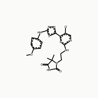 COc1ccc(Nc2nnc(-c3nc(NCCN4C(=O)NC(=O)C4(C)C)ncc3Cl)s2)cc1